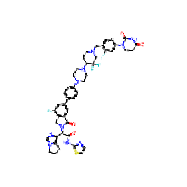 O=C1CCN(c2ccc(CN3CCC(N4CCN(c5ccc(-c6cc(F)c7c(c6)C(=O)N(C(C(=O)Nc6nccs6)c6ncn8c6CCC8)C7)cc5)CC4)C(F)(F)C3)c(F)c2)C(=O)N1